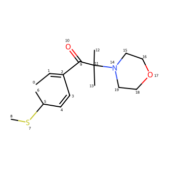 C/C=C(\C=C/C(C)SC)C(=O)C(C)(C)N1CCOCC1